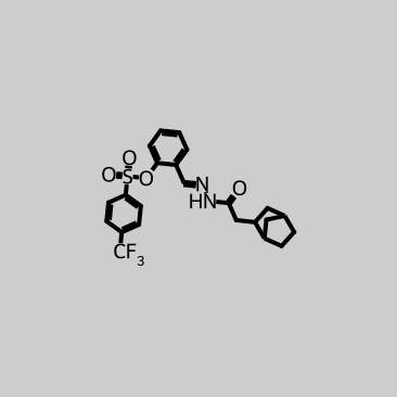 O=C(CC1CC2CCC1C2)NN=Cc1ccccc1OS(=O)(=O)c1ccc(C(F)(F)F)cc1